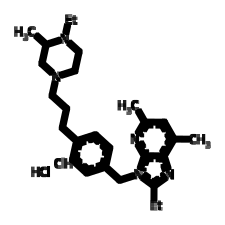 CCc1nc2c(C)cc(C)nc2n1Cc1ccc(CCCN2CCN(CC)C(C)C2)cc1.Cl.Cl